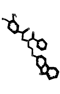 Nc1cc(C(=O)CN(CCOc2ccc3c(c2)[nH]c2ccccc23)C(=O)c2ccccc2)ccc1Br